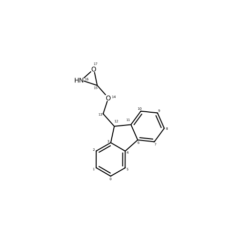 c1ccc2c(c1)-c1ccccc1C2COC1NO1